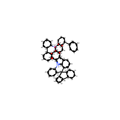 c1ccc(-c2cccc(N(c3ccc4c(c3)c3cccc5c3n4-c3ccccc3C53c4ccccc4-c4ccccc43)c3ccccc3-c3ccccc3-c3ccccc3)c2)cc1